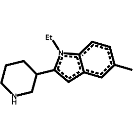 CCn1c(C2CCCNC2)cc2cc(C)ccc21